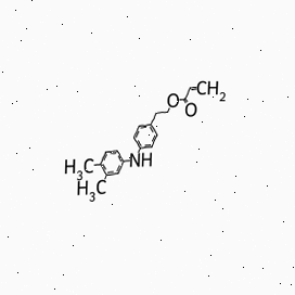 C=CC(=O)OCCc1ccc(Nc2ccc(C)c(C)c2)cc1